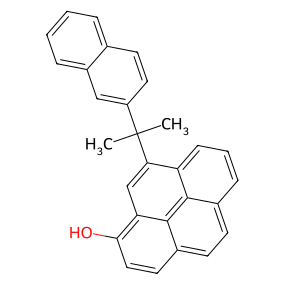 CC(C)(c1ccc2ccccc2c1)c1cc2c(O)ccc3ccc4cccc1c4c32